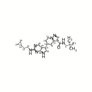 CC(C)(F)CNC(=O)c1cnn2ccc(-c3c[nH]c4nc(NCCC5CC5)ncc34)cc12